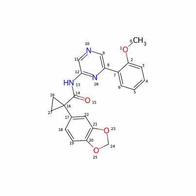 COc1ccccc1-c1cncc(NC(=O)C2(c3ccc4c(c3)OCO4)CC2)n1